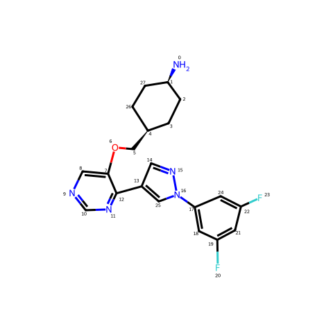 N[C@H]1CC[C@@H](COc2cncnc2-c2cnn(-c3cc(F)cc(F)c3)c2)CC1